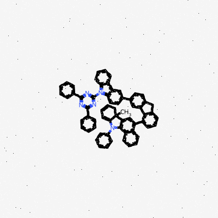 CC12CC=CC=C1N(c1ccccc1)c1c2cc(-c2cccc3c2-c2cc(-c4ccc5c(c4)c4ccccc4n5-c4nc(-c5ccccc5)nc(-c5ccccc5)n4)ccc2C3)c2ccccc12